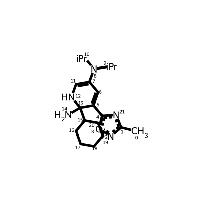 Cc1noc(C2=CC(N(C(C)C)C(C)C)=CNC2(N)C2CCCCC2)n1